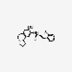 Cl.O=C(C=Cc1ccccc1C(F)(F)F)Nc1ccc2c(c1)C1CCCN1CC2